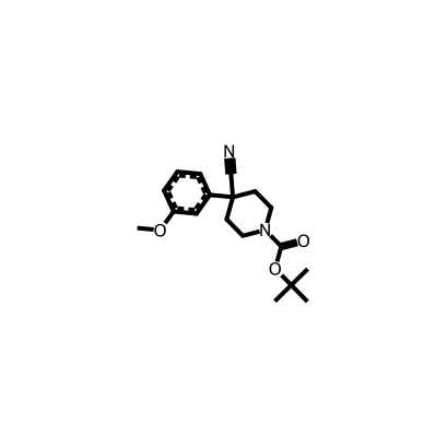 COc1cccc(C2(C#N)CCN(C(=O)OC(C)(C)C)CC2)c1